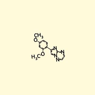 COc1ccc(-c2cn3nccnc3n2)c(OC)c1